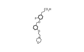 O=C(O)CCc1ccc(OCc2cccc(OCCN3CCOCC3)c2)c(F)c1